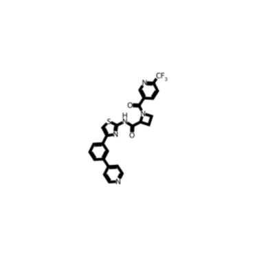 O=C(Nc1nc(-c2cccc(-c3ccncc3)c2)cs1)C1CCN1C(=O)c1ccc(C(F)(F)F)nc1